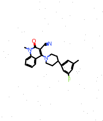 Cc1cc(F)cc(C2CCN(c3c(C#N)c(=O)n(C)c4ccccc34)CC2)c1